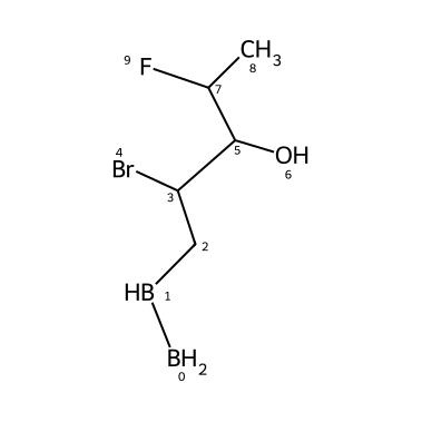 BBCC(Br)C(O)C(C)F